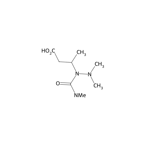 CNC(=O)N(C(C)CC(=O)O)N(C)C